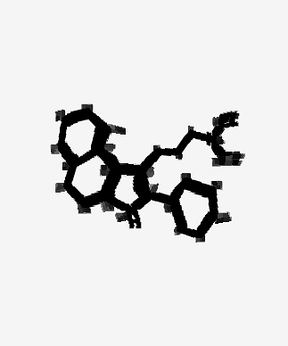 CCN(CC)CCCc1c(-c2ccccc2)[nH]c2c1-c1ccccc1CC2